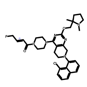 CN1CCCC1(C)COc1nc2c(c(N3CCN(C(=O)/C=C/CF)CC3)n1)CCN(c1cccc3cccc(Cl)c13)C2